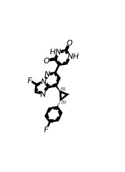 O=c1[nH]cc(-c2cc([C@H]3C[C@@H]3c3ccc(F)cc3)c3ncc(F)n3n2)c(=O)[nH]1